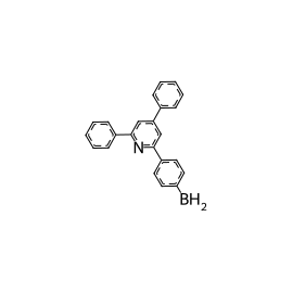 Bc1ccc(-c2cc(-c3ccccc3)cc(-c3ccccc3)n2)cc1